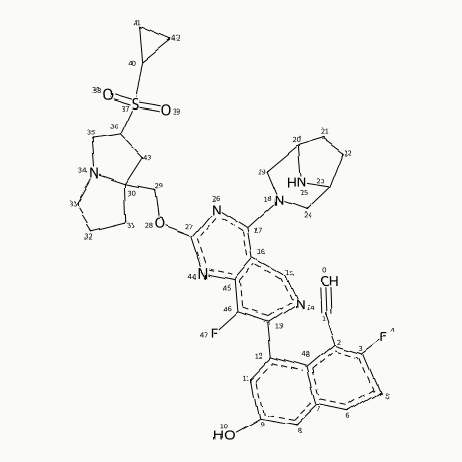 C#Cc1c(F)ccc2cc(O)cc(-c3ncc4c(N5CC6CCC(C5)N6)nc(OCC56CCCN5CC(S(=O)(=O)C5CC5)C6)nc4c3F)c12